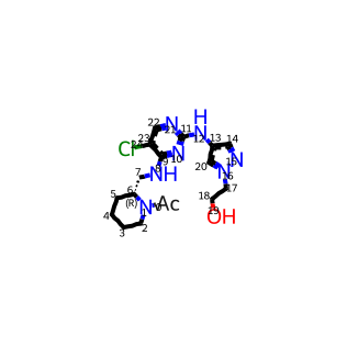 CC(=O)N1CCCC[C@@H]1CNc1nc(Nc2cnn(CCO)c2)ncc1Cl